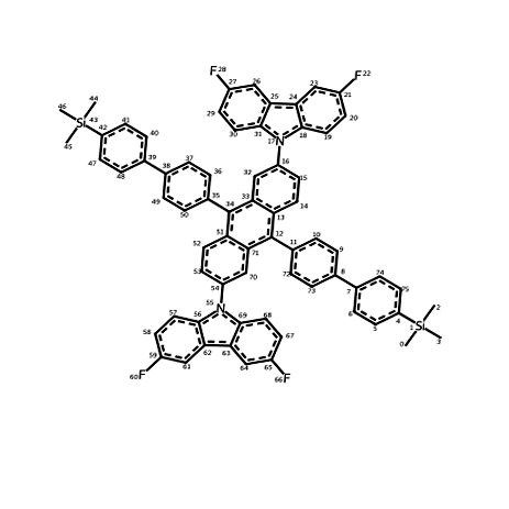 C[Si](C)(C)c1ccc(-c2ccc(-c3c4ccc(-n5c6ccc(F)cc6c6cc(F)ccc65)cc4c(-c4ccc(-c5ccc([Si](C)(C)C)cc5)cc4)c4ccc(-n5c6ccc(F)cc6c6cc(F)ccc65)cc34)cc2)cc1